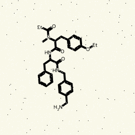 CCOc1ccc(CC(C(=O)NC(Cc2ccccc2)C(=O)NCc2ccc(CN)cc2)N(C)C(=O)CC)cc1